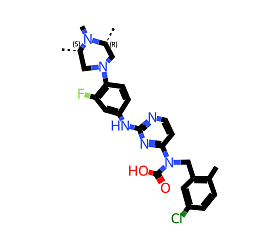 Cc1ccc(Cl)cc1CN(C(=O)O)c1ccnc(Nc2ccc(N3C[C@@H](C)N(C)[C@@H](C)C3)c(F)c2)n1